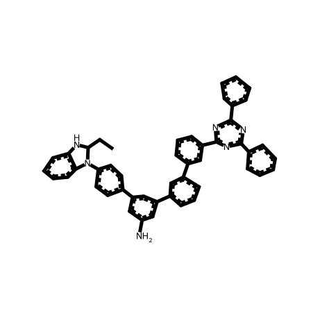 CCC1Nc2ccccc2N1c1ccc(-c2cc(N)cc(-c3cccc(-c4cccc(-c5nc(-c6ccccc6)nc(-c6ccccc6)n5)c4)c3)c2)cc1